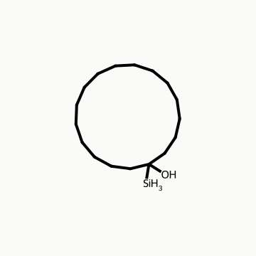 OC1([SiH3])CCCCCCCCCCCCCCCC1